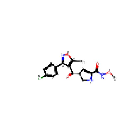 CCONC(=O)C1=CC(C(=O)c2c(-c3ccc(Br)cc3)noc2C)CN1